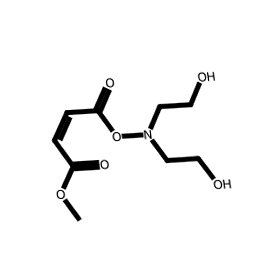 COC(=O)/C=C\C(=O)ON(CCO)CCO